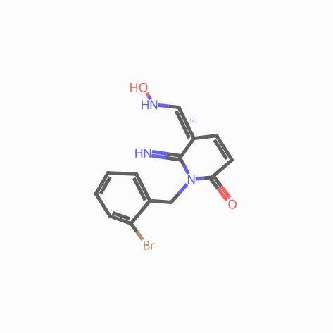 N=C1/C(=C\NO)C=CC(=O)N1Cc1ccccc1Br